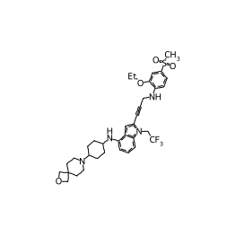 CCOc1cc(S(C)(=O)=O)ccc1NCC#Cc1cc2c(NC3CCC(N4CCC5(CC4)COC5)CC3)cccc2n1CC(F)(F)F